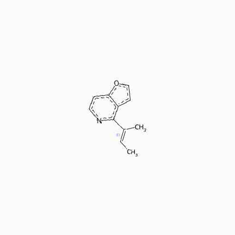 C/C=C(\C)c1nccc2occc12